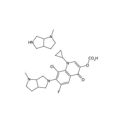 CN1CCC2CN(c3c(F)cc4c(=O)c(OC(=O)O)cn(C5CC5)c4c3Cl)CC21.CN1CCC2CNCC21